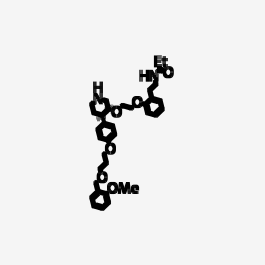 CCC(=O)NCCc1ccccc1OCCO[C@H]1CNCC[C@@H]1c1ccc(OCCCOCc2ccccc2OC)cc1